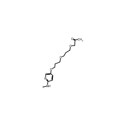 CC(=O)COCCCOCCCOc1ccc(NI)nc1